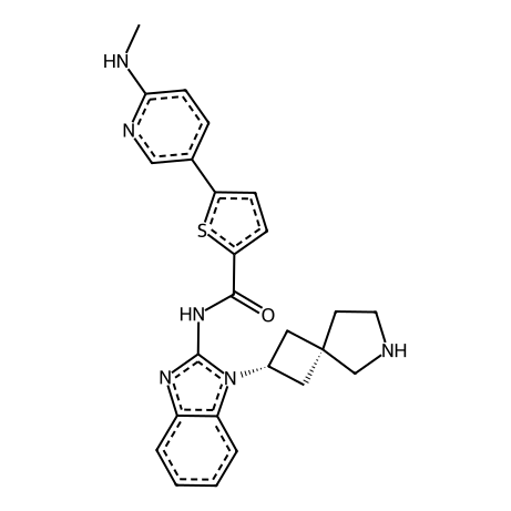 CNc1ccc(-c2ccc(C(=O)Nc3nc4ccccc4n3[C@H]3C[C@@]4(CCNC4)C3)s2)cn1